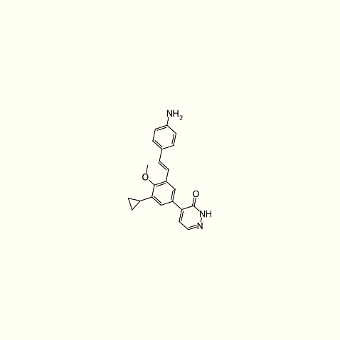 COc1c(/C=C/c2ccc(N)cc2)cc(-c2ccn[nH]c2=O)cc1C1CC1